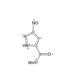 COC(=O)c1cc(N=O)n[nH]1